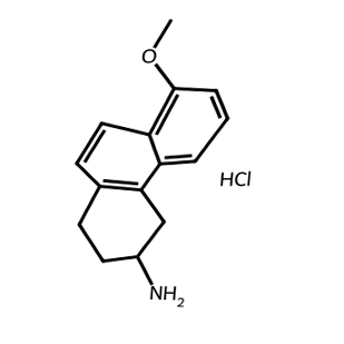 COc1cccc2c3c(ccc12)CCC(N)C3.Cl